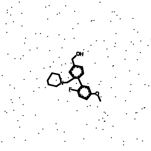 COc1ccc(F)c(-c2ccc(CO)cc2CN2CCCCC2)c1